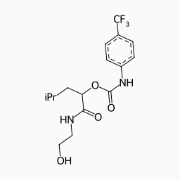 CC(C)CC(OC(=O)Nc1ccc(C(F)(F)F)cc1)C(=O)NCCO